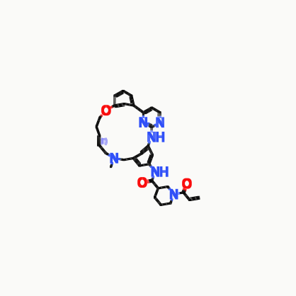 C=CC(=O)N1CCCC(C(=O)Nc2cc3cc(c2)Nc2nccc(n2)-c2cccc(c2)OCC/C=C/CN(C)C3)C1